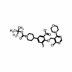 CC(C)(C)OC(=O)N1CCC(c2cc(F)c(OCc3c(Cl)ncnc3N3CCOCC3)c([N+](=O)[O-])c2)CC1